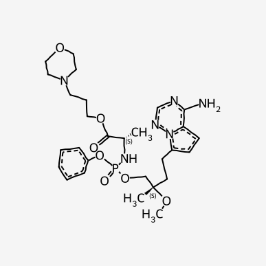 CO[C@@](C)(CCc1ccc2c(N)ncnn12)COP(=O)(N[C@@H](C)C(=O)OCCCN1CCOCC1)Oc1ccccc1